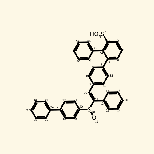 O=S(=O)(O)c1cccc(-c2ccc(/C=C(\c3ccccc3)[S+]([O-])c3ccc(-c4ccccc4)cc3)cc2)c1-c1ccccc1